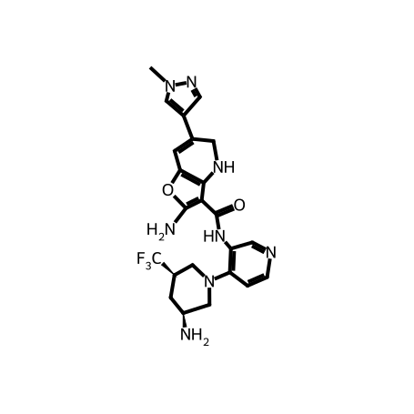 Cn1cc(C2=Cc3oc(N)c(C(=O)Nc4cnccc4N4C[C@@H](N)C[C@@H](C(F)(F)F)C4)c3NC2)cn1